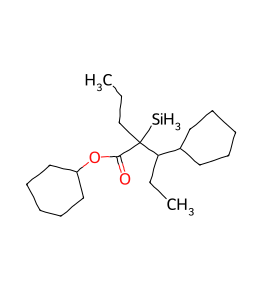 CCCC([SiH3])(C(=O)OC1CCCCC1)C(CC)C1CCCCC1